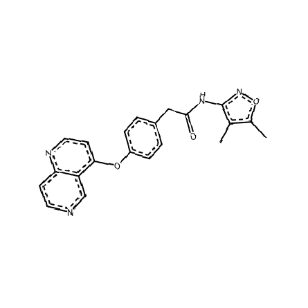 Cc1onc(NC(=O)Cc2ccc(Oc3ccnc4ccncc34)cc2)c1C